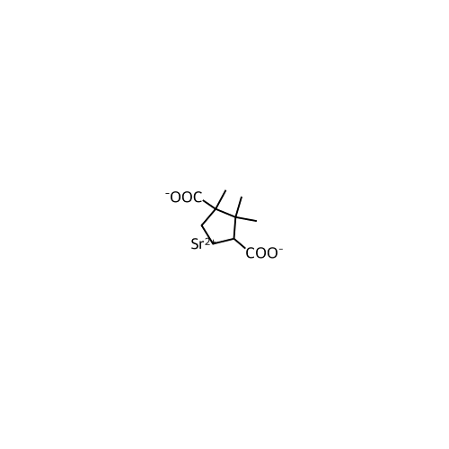 CC1(C(=O)[O-])CCC(C(=O)[O-])C1(C)C.[Sr+2]